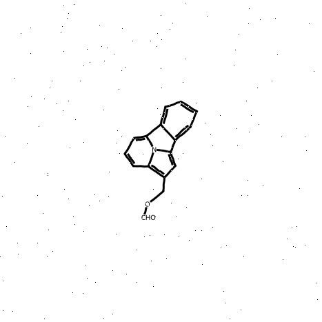 O=COCc1cc2c3ccccc3c3cccc1n32